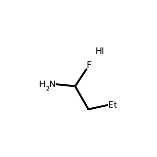 CCCC(N)F.I